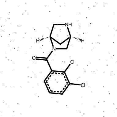 O=C(c1cccc(Cl)c1Cl)N1C[C@H]2C[C@@H]1CN2